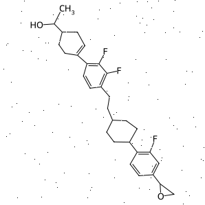 CC(O)C1CC=C(c2ccc(CCC3CCC(c4ccc(C5CO5)cc4F)CC3)c(F)c2F)CC1